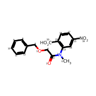 CN(C(=O)COCc1ccccc1)c1cc([N+](=O)[O-])ccc1C(=O)O